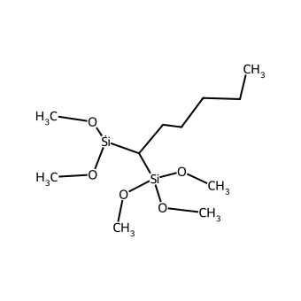 CCCCCC([Si](OC)OC)[Si](OC)(OC)OC